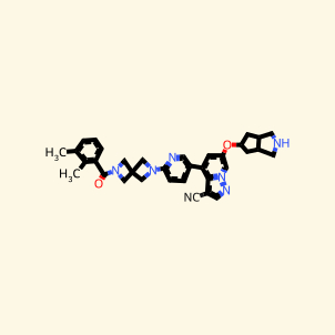 Cc1cccc(C(=O)N2CC3(C2)CN(c2ccc(-c4cc(OC5CC6CNCC6C5)cn5ncc(C#N)c45)cn2)C3)c1C